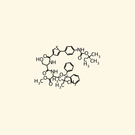 COC(=O)C(CO[Si](c1ccccc1)(c1ccccc1)C(C)(C)C)NC(=O)C(CO)NC(=O)c1csc(-c2ccc(NC(=O)OC(C)(C)C)cc2)c1